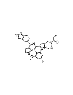 C=CC(=O)N1Cc2cc(-c3nc(-c4ccc5nn(C)cc5c4)c4ccsc4c3-c3c(F)cc(F)cc3OC)nn2C[C@H]1C